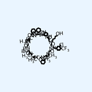 CC[C@H](C)[C@@H]1NC(=O)[C@H](CC(C)C)N(C)C(=O)C[C@@H](C(=O)N2CCCCC2)N(C)C(=O)[C@H](C2CCCCC2)N(C)C(=O)C2(CCCC2)NC(=O)CN(CCCCCO)C(=O)[C@H](CCc2ccc(C(F)(F)F)c(Cl)c2)NC(=O)CN(C)C(=O)[C@H](CC2CCCCC2)N(C)C(=O)CN(C)C(=O)CN(C)C1=O